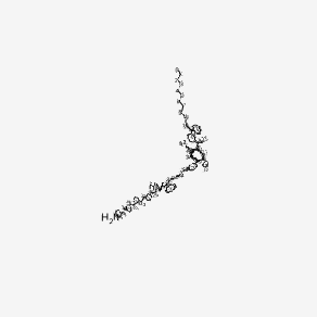 CCCCCCCCCCCC(=O)OC(C)c1cc(OC)c(OCCCC(=O)NCCOCCOCCOCCON)cc1C